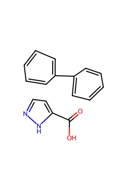 O=C(O)c1ccn[nH]1.c1ccc(-c2ccccc2)cc1